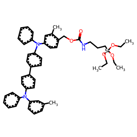 CCO[Si](CCCNC(=O)OCc1ccc(N(c2ccccc2)c2ccc(-c3ccc(N(c4ccccc4)c4cccc(C)c4)cc3)cc2)cc1C)(OCC)OCC